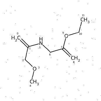 C=C(COC)NCC(=C)OCC